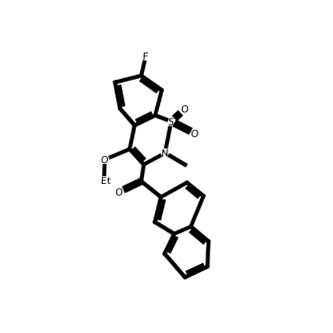 CCOC1=C(C(=O)c2ccc3ccccc3c2)N(C)S(=O)(=O)c2cc(F)ccc21